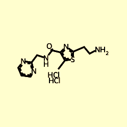 Cc1sc(CCN)nc1C(=O)NCc1ncccn1.Cl.Cl